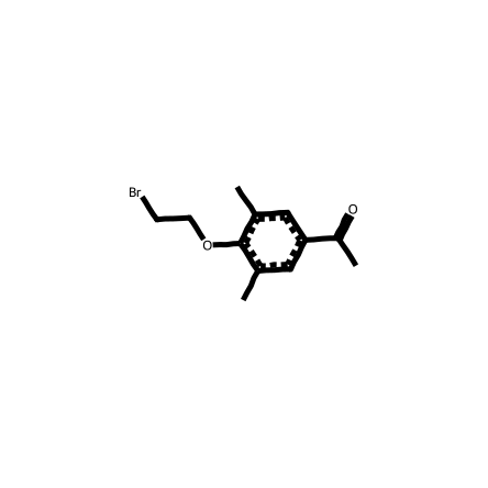 CC(=O)c1cc(C)c(OCCBr)c(C)c1